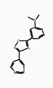 CN(C)c1cccc(-c2nc(-c3ccncc3)no2)c1